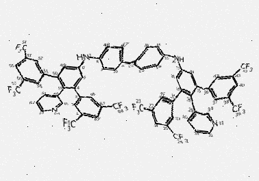 FC(F)(F)c1cc(-c2cc(Nc3ccc(-c4ccc(Nc5cc(-c6cc(C(F)(F)F)cc(C(F)(F)F)c6)c(-c6cccnc6)c(-c6cc(C(F)(F)F)cc(C(F)(F)F)c6)c5)cc4)cc3)cc(-c3cc(C(F)(F)F)cc(C(F)(F)F)c3)c2-c2cccnc2)cc(C(F)(F)F)c1